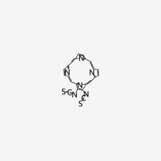 S=C=NC1=C(N=C=S)C2=NC1=CC1=NC(=CC3=NC(=CC4=NC(=C2)C=C4)C=C3)C=C1